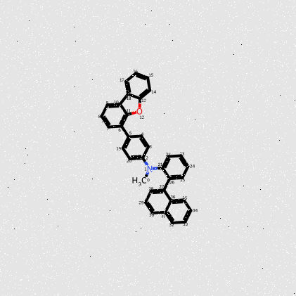 CN(c1ccc(-c2cccc3c2oc2ccccc23)cc1)c1ccccc1-c1cccc2ccccc12